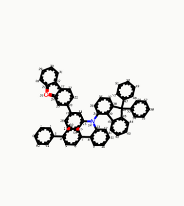 c1ccc(-c2ccc(-c3ccccc3N(c3cccc(-c4ccc5c(c4)oc4ccccc45)c3)c3cccc4c3-c3ccccc3C4(c3ccccc3)c3ccccc3)cc2)cc1